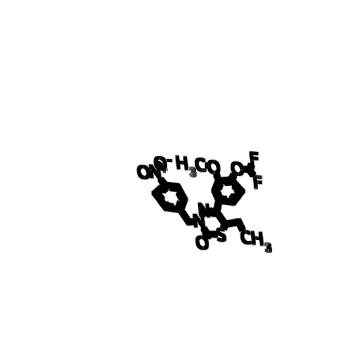 CCC1SC(=O)N(Cc2ccc([N+](=O)[O-])cc2)N=C1c1ccc(OC(F)F)c(OC)c1